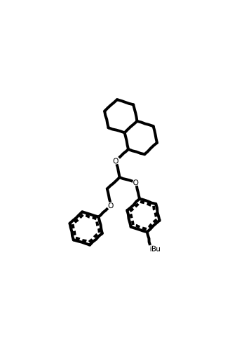 CCC(C)c1ccc(OC(COc2ccccc2)OC2CCCC3CCCCC32)cc1